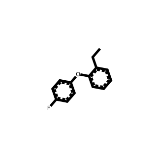 CCc1ccccc1Oc1ccc(F)cc1